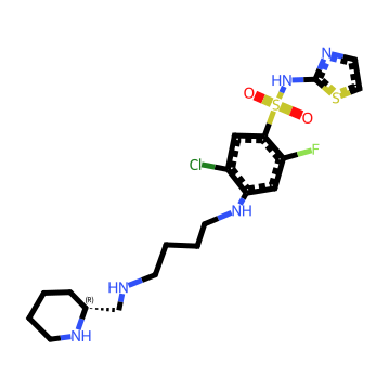 O=S(=O)(Nc1nccs1)c1cc(Cl)c(NCCCCNC[C@H]2CCCCN2)cc1F